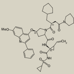 C=CC1C[C@]1(NC(=O)C1C[C@@H](Oc2cc(-c3ccccc3)nc3cc(OC)ccc23)CN1C(=O)[C@H](CC(=O)N1CCCCC1)CC1CCCCC1)C(=O)NS(=O)(=O)C1CC1